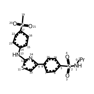 CC(C)NS(=O)(=O)c1ccc(-c2csc(Nc3ccc(S(C)(=O)=O)cc3)n2)cc1